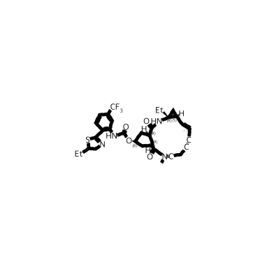 CCC1CN=C(c2ccc(C(F)(F)F)cc2NC(=O)O[C@@H]2C[C@H]3C(=O)N[C@]4(CC)C[C@H]4/C=C\CCCCN(C)C(=O)[C@@H]3C2)S1